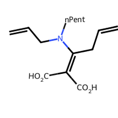 C=CCC(=C(C(=O)O)C(=O)O)N(CC=C)CCCCC